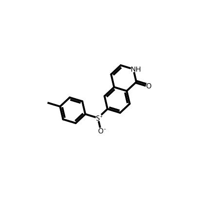 Cc1ccc([S+]([O-])c2ccc3c(=O)[nH]ccc3c2)cc1